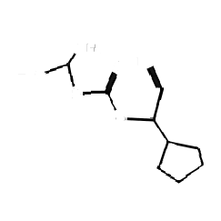 [CH]=CC(OC(=O)OC(C)C)C1CCCC1